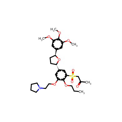 CCCOc1c(OCCN2CCCC2)cc([C@@H]2CC[C@@H](c3cc(OC)c(OC)c(OC)c3)O2)cc1S(=O)(=O)CC(C)=O